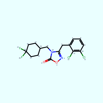 O=c1onc(Cc2cccc(Cl)c2Cl)n1CC1CCC(F)(F)CC1